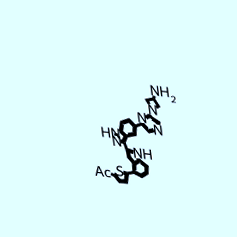 CC(=O)c1ccc(-c2cccc3[nH]c(-c4n[nH]c5ccc(-c6cncc(N7CC(N)C7)n6)cc45)cc23)s1